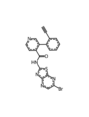 C#Cc1ccccc1-c1cnccc1C(=O)Nc1nc2ncc(Br)nc2s1